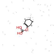 OB(O)OC1=CCCCC1